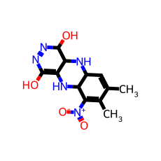 CC1=CC2NC3C(=C(O)N=NC3O)NC2C([N+](=O)[O-])=C1C